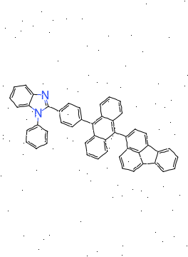 c1ccc(-n2c(-c3ccc(-c4c5ccccc5c(-c5ccc6c7c(cccc57)-c5ccccc5-6)c5ccccc45)cc3)nc3ccccc32)cc1